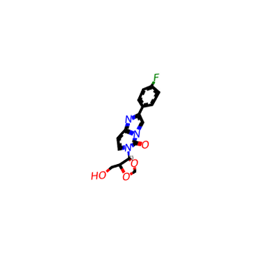 O=c1n([C@H]2OCOC2CO)ccc2nc(-c3ccc(F)cc3)cn12